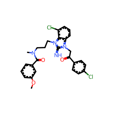 COc1cccc(C(=O)N(C)CCCn2c(=N)n(CC(=O)c3ccc(Cl)cc3)c3cccc(Cl)c32)c1